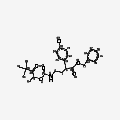 CC(OC(=O)NCCC(C(=O)OCc1ccccc1)c1ccc(Cl)cc1)C(=O)C(C)(C)C